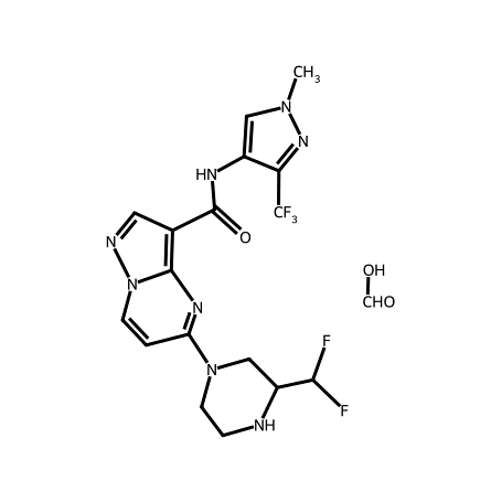 Cn1cc(NC(=O)c2cnn3ccc(N4CCNC(C(F)F)C4)nc23)c(C(F)(F)F)n1.O=CO